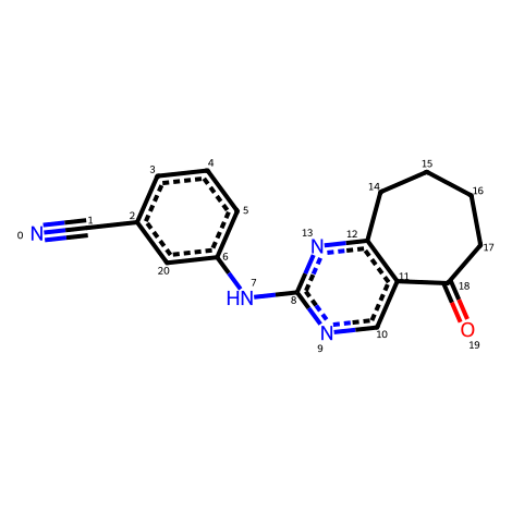 N#Cc1cccc(Nc2ncc3c(n2)CCCCC3=O)c1